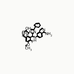 CCOc1cc(CC)cc(C(Nc2ccc3c(N)nccc3c2)c2nc(C3=CC=CCC3)cn2C(C)C(=O)O)c1F